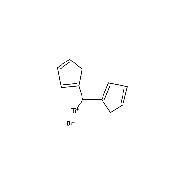 [Br-].[Ti+][CH](C1=CC=CC1)C1=CC=CC1